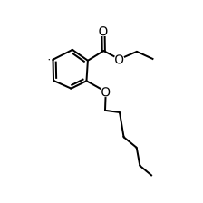 CCCCCCOc1cc[c]cc1C(=O)OCC